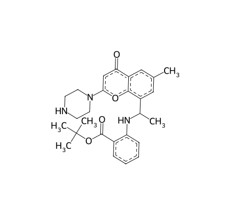 Cc1cc(C(C)Nc2ccccc2C(=O)OC(C)(C)C)c2oc(N3CCNCC3)cc(=O)c2c1